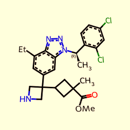 CCc1cc(C2(C3CC(C)(C(=O)OC)C3)CNC2)cc2c1nnn2[C@H](C)c1ccc(Cl)cc1Cl